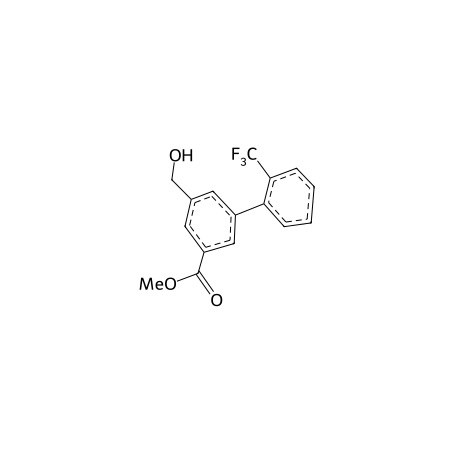 COC(=O)c1cc(CO)cc(-c2ccccc2C(F)(F)F)c1